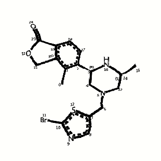 Cc1c([C@@H]2CN(Cc3cnc(Br)s3)C[C@H](C)N2)ccc2c1COC2=O